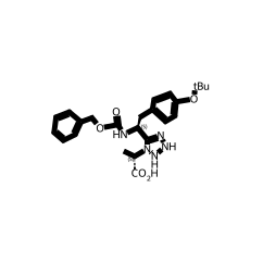 C[C@@H](C(=O)O)N1NNN=C1[C@H](Cc1ccc(OC(C)(C)C)cc1)NC(=O)OCc1ccccc1